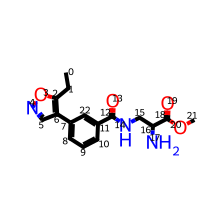 CCc1oncc1-c1cccc(C(=O)NCC(N)C(=O)OC)c1